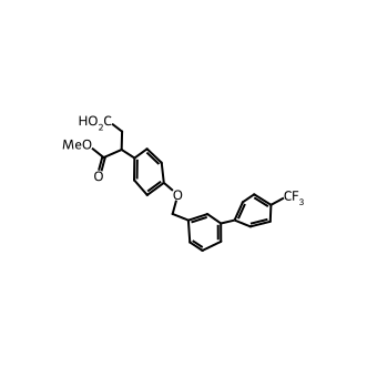 COC(=O)C(CC(=O)O)c1ccc(OCc2cccc(-c3ccc(C(F)(F)F)cc3)c2)cc1